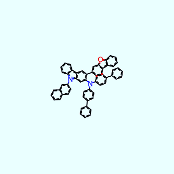 c1ccc(-c2ccc(N(c3ccc(-c4ccccc4)cc3)c3cc4c(cc3-c3ccc5c(c3)oc3ccccc35)c3ccccc3n4-c3ccc4ccccc4c3)cc2)cc1